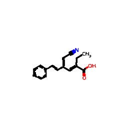 CCC(=CC(C=Cc1ccccc1)=CC#N)C(=O)O